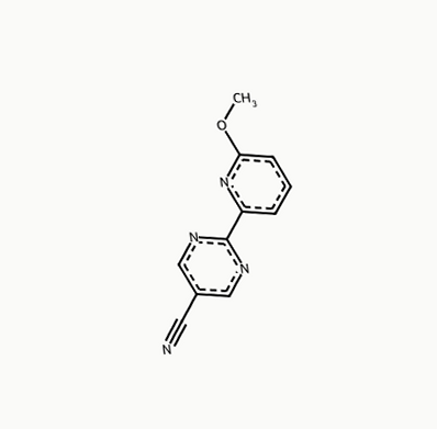 COc1cccc(-c2ncc(C#N)cn2)n1